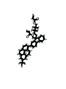 C=CC(=O)OCC1(CCC(F)(F)C(F)(F)COC(=O)C=C)c2ccccc2-c2ccc(-c3ccc4ccc5cc(C(C)(C)C)cc6ccc3c4c56)cc21